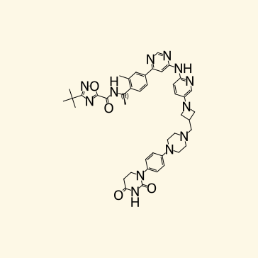 Cc1cc(-c2cc(Nc3ccc(N4CC(CN5CCN(c6ccc(N7CCC(=O)NC7=O)cc6)CC5)C4)cn3)ncn2)ccc1[C@@H](C)NC(=O)c1nc(C(C)(C)C)no1